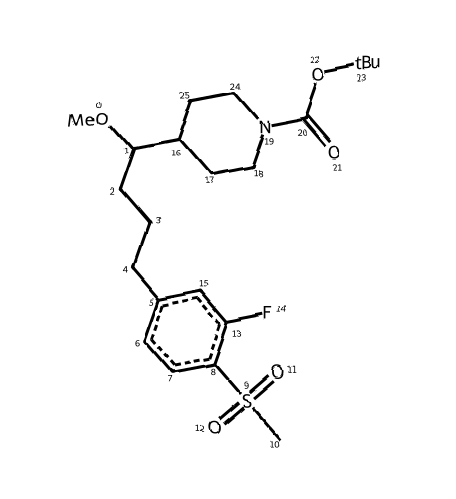 COC(CCCc1ccc(S(C)(=O)=O)c(F)c1)C1CCN(C(=O)OC(C)(C)C)CC1